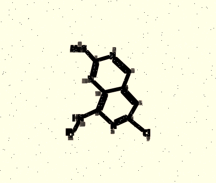 CSc1ncc2cc(Cl)nc(NC(C)C)c2n1